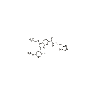 CCOc1cc(-c2cc(OC)ncc2Cl)nc2cc(C(=O)NCCCc3nnc[nH]3)ccc12